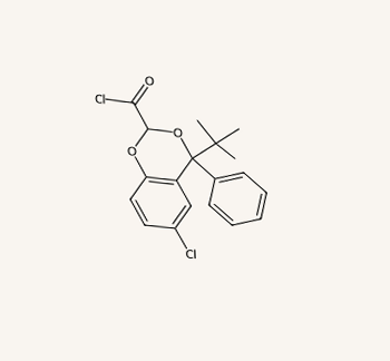 CC(C)(C)C1(c2ccccc2)OC(C(=O)Cl)Oc2ccc(Cl)cc21